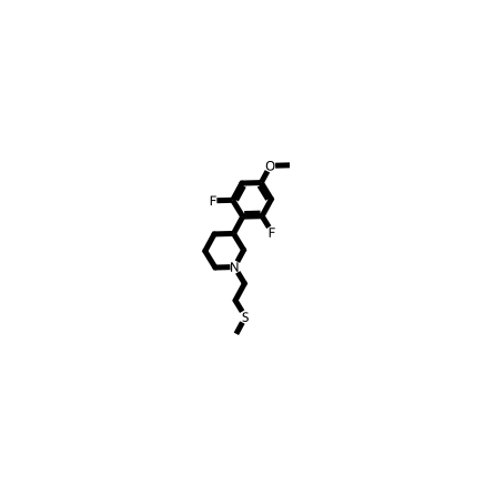 COc1cc(F)c(C2CCCN(CCSC)C2)c(F)c1